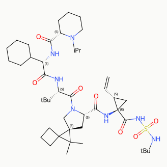 C=C[C@@H]1C[C@]1(NC(=O)[C@@H]1C[C@@]2(CN1C(=O)[C@@H](NC(=O)[C@@H](NC(=O)[C@@H]1CCCCN1C(C)C)C1CCCCC1)C(C)(C)C)C(C)(C)C21CCC1)C(=O)NS(=O)(=O)NC(C)(C)C